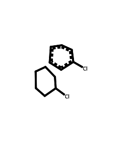 ClC1CCCCC1.Clc1ccccc1